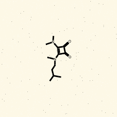 CC(C)CCN(C)c1c(N(C)C)c(=O)c1=O